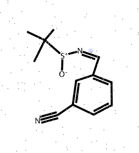 CC(C)(C)[S+]([O-])/N=C\c1cccc(C#N)c1